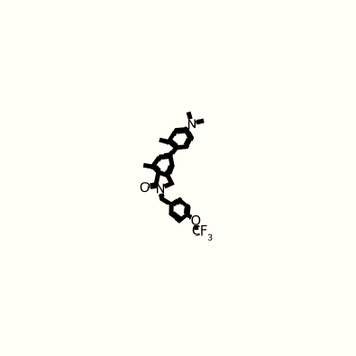 Cc1cc(N(C)C)ccc1-c1cc(C)c2c(c1)CN(Cc1ccc(OC(F)(F)F)cc1)C2=O